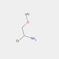 CCCOCC(N)CC